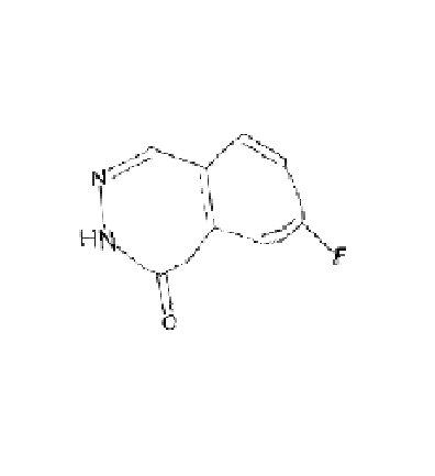 O=c1[nH]ncc2ccc(F)cc12